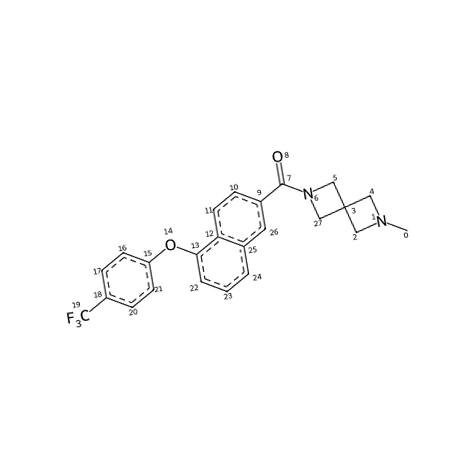 CN1CC2(C1)CN(C(=O)c1ccc3c(Oc4ccc(C(F)(F)F)cc4)cccc3c1)C2